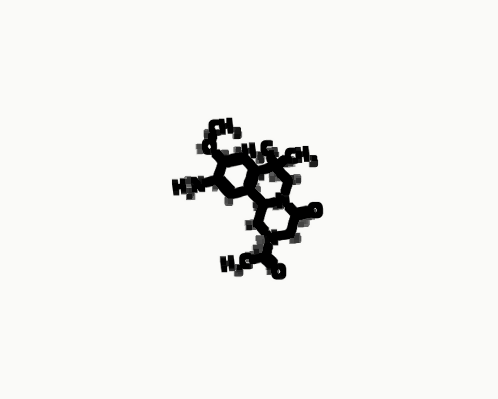 COc1cc2c(cc1N)C1CN(C(C)=O)CC(=O)N1CC2(C)C